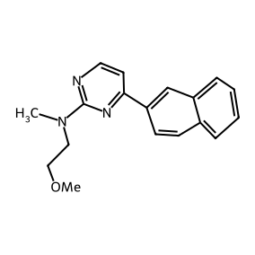 COCCN(C)c1nccc(-c2ccc3ccccc3c2)n1